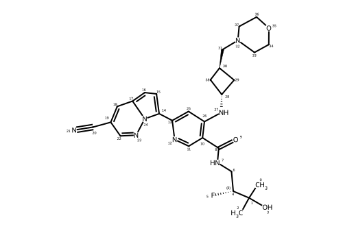 CC(C)(O)[C@H](F)CNC(=O)c1cnc(-c2ccc3cc(C#N)cnn23)cc1N[C@H]1C[C@H](CN2CCOCC2)C1